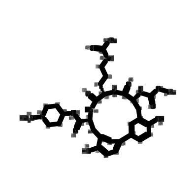 CC(C)(C)OC(=O)N[C@H]1Cc2cc(ccc2O)-c2ccc(O)c(c2)C[C@@H](C(=O)NC2CCN(C(=O)O)CC2)NC(=O)[C@H](CCCNC(=O)C(C)(C)C)NC1=O